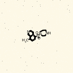 Cc1ccc(S(=O)(=O)N2CCCNCC2)c2ccncc12